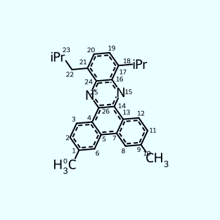 Cc1ccc2c(c1)c1cc(C)ccc1c1nc3c(C(C)C)ccc(CC(C)C)c3nc21